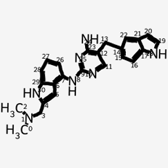 CN(C)Cc1cc2c(Nc3ncc(Cc4ccc5[nH]ccc5c4)c(N)n3)cccc2[nH]1